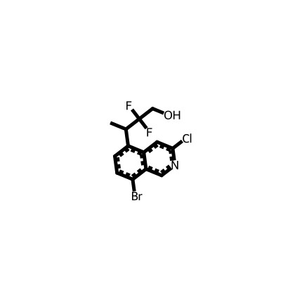 CC(c1ccc(Br)c2cnc(Cl)cc12)C(F)(F)CO